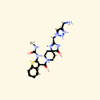 CCNC(=O)Nc1sc2ccccc2c1C(=O)N1CCC2(CC1)N=C(Cn1cc(CN)nn1)NC2=O